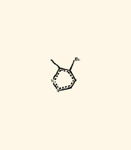 CCC(C)c1ccnnc1C